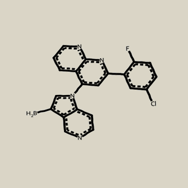 Bc1cn(-c2cc(-c3cc(Cl)ccc3F)nc3ncccc23)c2ccncc12